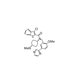 CN[C@H]1CC[C@@H](N(Cc2cc(-c3cnccn3)ccc2OC)C(=O)c2sc3ccccc3c2Cl)CC1